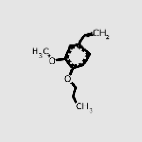 C=Cc1ccc(OCCC)c(OC)c1